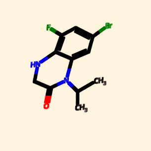 CC(C)N1C(=O)CNc2c(F)cc(Br)cc21